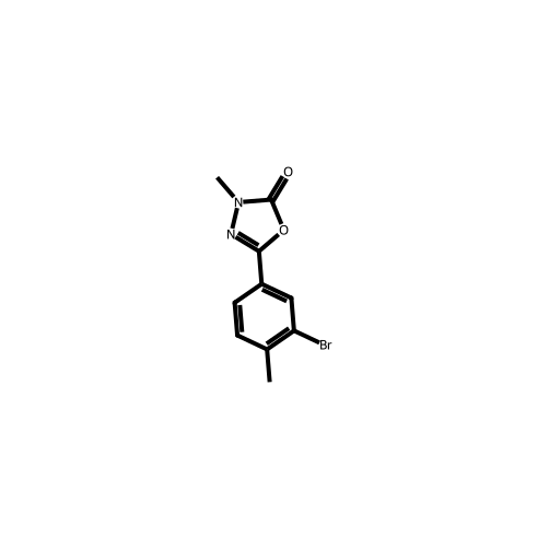 Cc1ccc(-c2nn(C)c(=O)o2)cc1Br